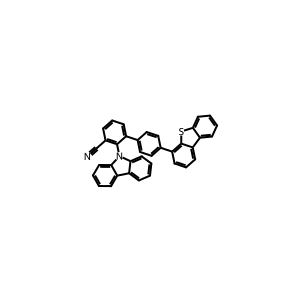 N#Cc1cccc(-c2ccc(-c3cccc4c3sc3ccccc34)cc2)c1-n1c2ccccc2c2ccccc21